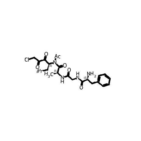 CC(=O)N(C(=O)[C@H](C)NC(=O)CNC(=O)[C@@H](N)Cc1ccccc1)[C@@H](CC(C)C)C(=O)C(=O)CCl